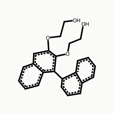 OCCOc1cc2ccccc2c(-c2cccc3ccccc23)c1OCCO